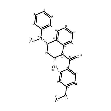 CC(=O)N(c1ccccc1)[C@H]1C[C@@H](C)N(C(=O)c2ccc(OC(F)(F)F)cc2)c2ccccc21